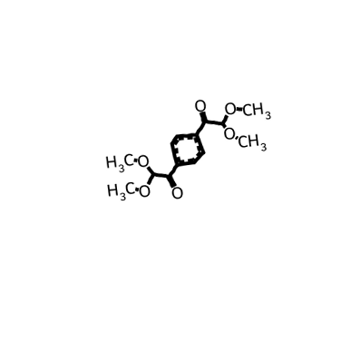 COC(OC)C(=O)c1ccc(C(=O)C(OC)OC)cc1